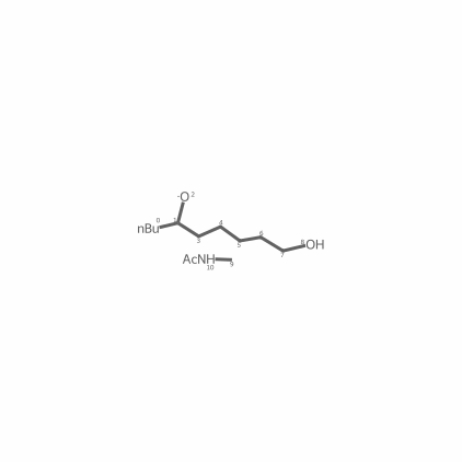 CCCCC([O])CCCCCO.CNC(C)=O